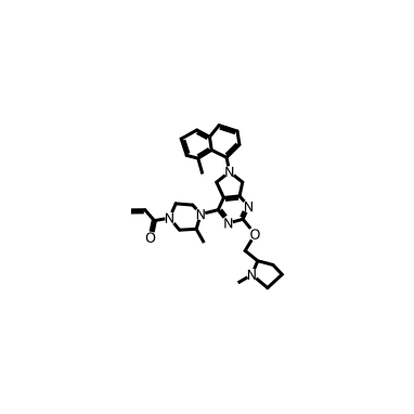 C=CC(=O)N1CCN(c2nc(OCC3CCCN3C)nc3c2CN(c2cccc4cccc(C)c24)C3)C(C)C1